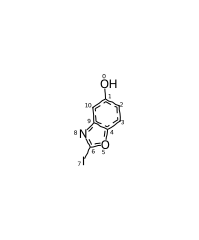 Oc1ccc2oc(I)nc2c1